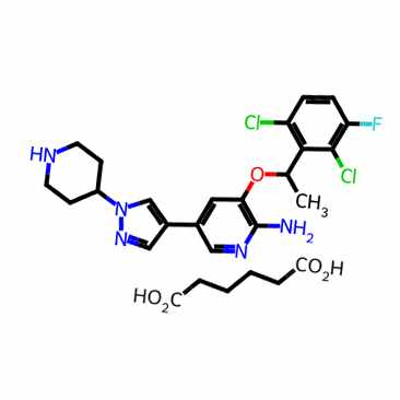 CC(Oc1cc(-c2cnn(C3CCNCC3)c2)cnc1N)c1c(Cl)ccc(F)c1Cl.O=C(O)CCCCC(=O)O